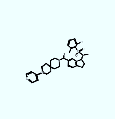 Cc1cccc(Cl)c1S(=O)(=O)N(C)C1CCc2ccc(C(=O)N3CCC4(CC3)CCN(c3ccncc3)CC4)cc21